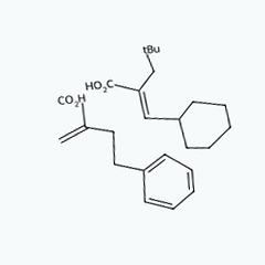 C=C(CCc1ccccc1)C(=O)O.CC(C)(C)CC(=CC1CCCCC1)C(=O)O